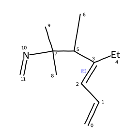 C=C/C=C(\CC)C(C)C(C)(C)N=C